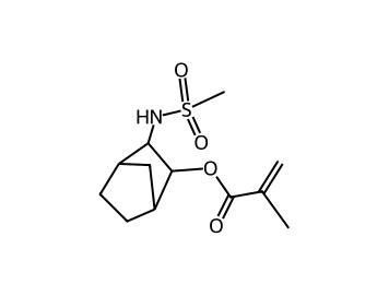 C=C(C)C(=O)OC1C2CCC(C2)C1NS(C)(=O)=O